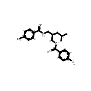 CC(C)CC(CNC(=O)c1ccc(Cl)cc1)COC(=O)c1ccc(Cl)cc1